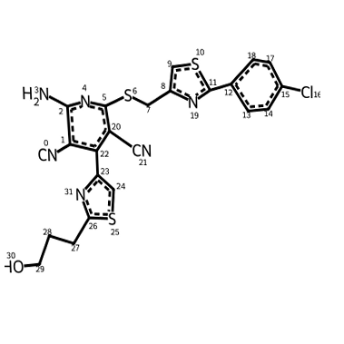 [C-]#[N+]c1c(N)nc(SCc2csc(-c3ccc(Cl)cc3)n2)c(C#N)c1-c1csc(CCCO)n1